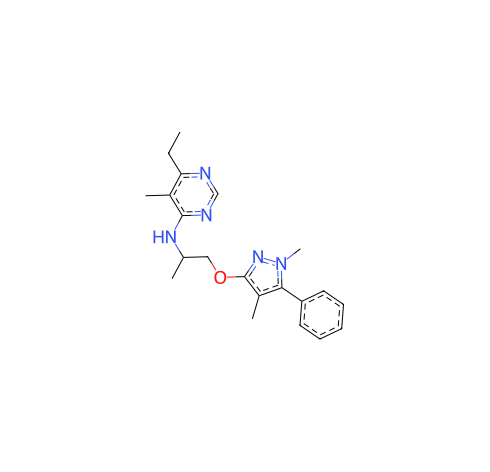 CCc1ncnc(NC(C)COc2nn(C)c(-c3ccccc3)c2C)c1C